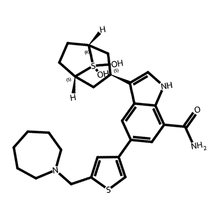 NC(=O)c1cc(-c2csc(CN3CCCCCC3)c2)cc2c([C@@H]3C[C@H]4CC[C@@H](C3)S4(O)O)c[nH]c12